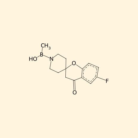 CB(O)N1CCC2(CC1)CC(=O)c1cc(F)ccc1O2